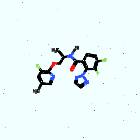 CCN(C(=O)c1ccc(F)c(F)c1-n1nccn1)C(C)COc1ncc(C(F)(F)F)cc1F